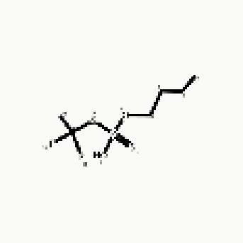 CCCCOP(O)(=S)SC(C)(F)F